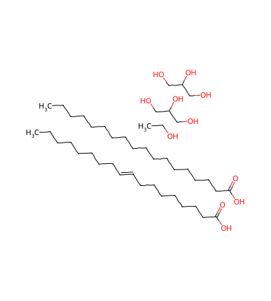 CCCCCCCCC=CCCCCCCCC(=O)O.CCCCCCCCCCCCCCCCCC(=O)O.CCO.OCC(O)CO.OCC(O)CO